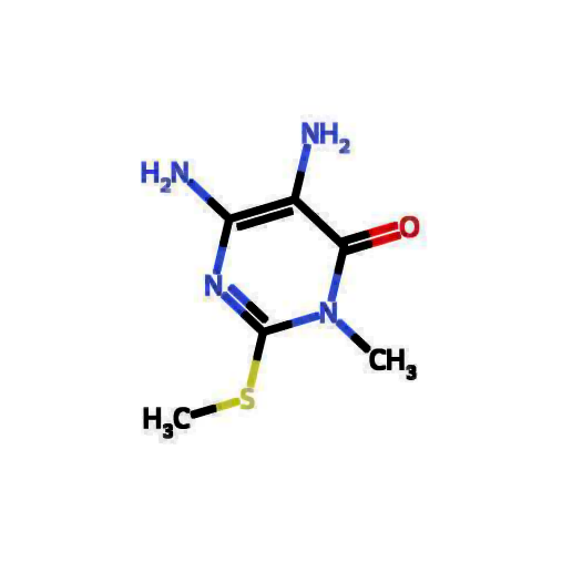 CSc1nc(N)c(N)c(=O)n1C